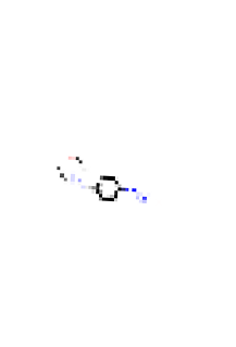 O=C=NNc1ccc(CN2CCOCC2)cc1